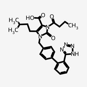 CCCC(=O)n1c(C(=O)O)c(CCC(C)C)n(Cc2ccc(-c3ccccc3-c3nnn[nH]3)cc2)c1=O